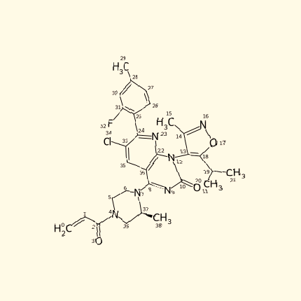 C=CC(=O)N1CCN(c2nc(=O)n(-c3c(C)noc3C(C)C)c3nc(-c4ccc(C)cc4F)c(Cl)cc23)[C@@H](C)C1